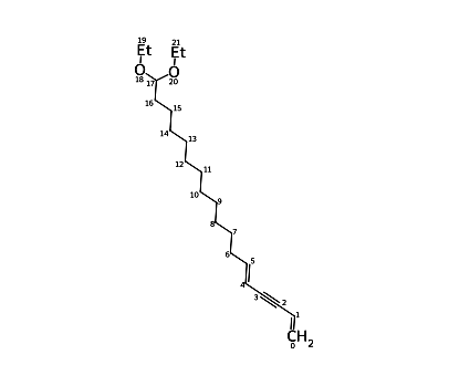 C=CC#C/C=C/CCCCCCCCCCCC(OCC)OCC